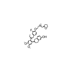 CCN(Cc1ccc(OCCN(C)C[C@H]2CCCO2)c(F)c1)c1cc(OC)c(OC)cc1[C@@H]1CCc2cc(O)ccc2C1